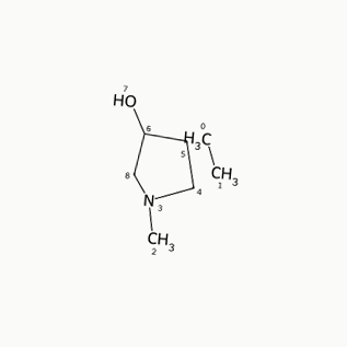 CC.CN1CCC(O)C1